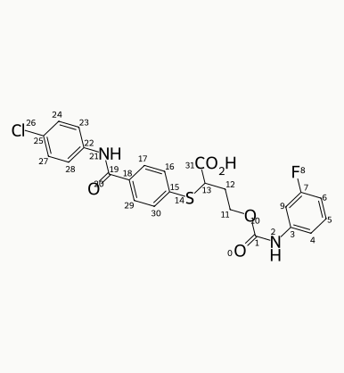 O=C(Nc1cccc(F)c1)OCCC(Sc1ccc(C(=O)Nc2ccc(Cl)cc2)cc1)C(=O)O